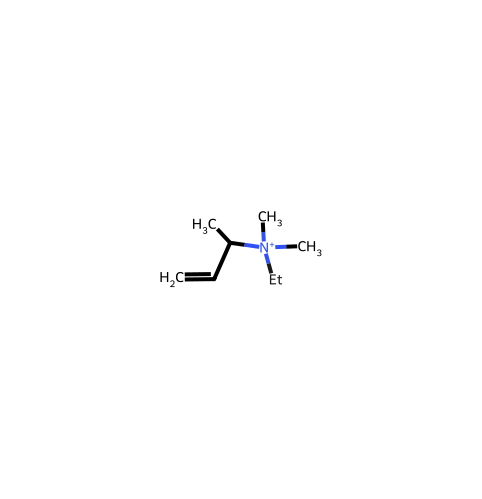 C=CC(C)[N+](C)(C)CC